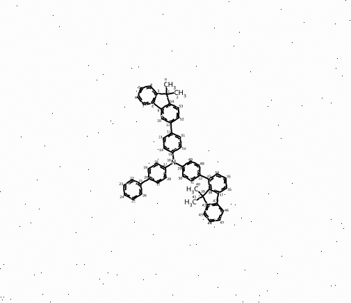 CC1(C)c2ccccc2-c2cc(-c3ccc(N(c4ccc(-c5ccccc5)cc4)c4ccc(-c5cccc6c5C(C)(C)c5ccccc5-6)cc4)cc3)ccc21